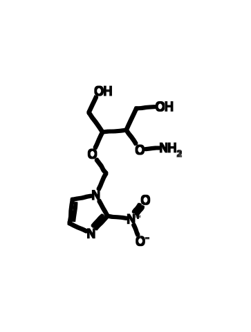 NOC(CO)C(CO)OCn1ccnc1[N+](=O)[O-]